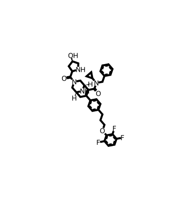 O=C(C1C[C@@H](O)CN1)N1C[C@@H]2CC(c3ccc(CCCOc4c(F)ccc(F)c4F)cc3)=C(C(=O)N(Cc3ccccc3)C3CC3)[C@H](C1)N2